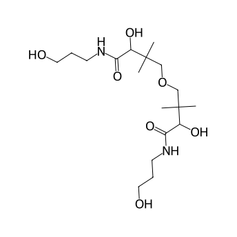 CC(C)(COCC(C)(C)C(O)C(=O)NCCCO)C(O)C(=O)NCCCO